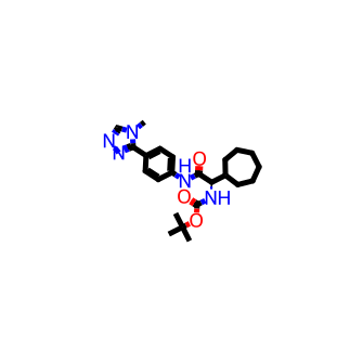 Cn1cnnc1-c1ccc(NC(=O)[C@@H](NC(=O)OC(C)(C)C)C2CCCCCC2)cc1